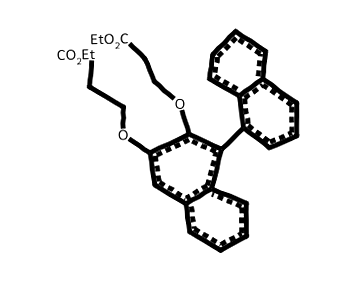 CCOC(=O)CCOc1cc2ccccc2c(-c2cccc3ccccc23)c1OCCC(=O)OCC